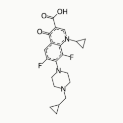 O=C(O)c1cn(C2CC2)c2c(F)c(N3CCN(CC4CC4)CC3)c(F)cc2c1=O